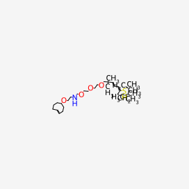 C=C/C(=C\C=C\C(C)(C)COCCOCCOCNCCO[C@H]1CC/C=C/CCC1)[SH](C(C)(C)C)C(C)(C)C